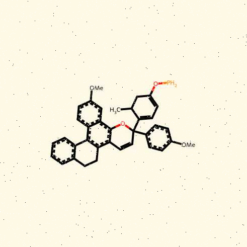 COc1ccc(C2(C3=CC=C(OP)CC3C)C=Cc3c4c(c5ccc(OC)cc5c3O2)-c2ccccc2CC4)cc1